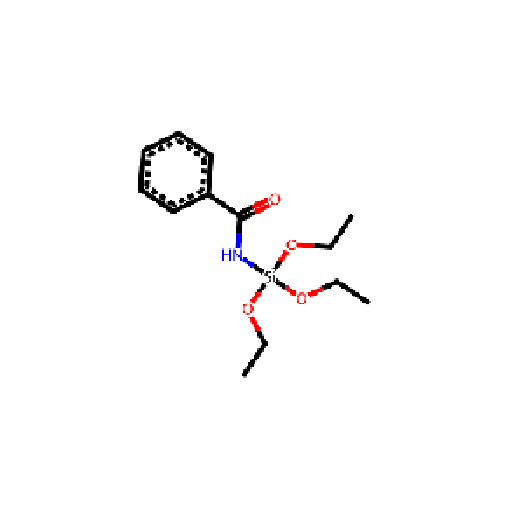 CCO[Si](NC(=O)c1ccccc1)(OCC)OCC